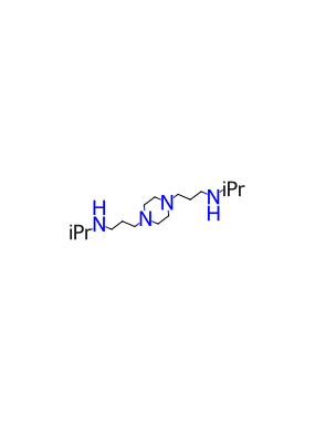 CC(C)NCCCN1CCN(CCCNC(C)C)CC1